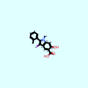 Cc1ccccc1-c1c(I)c2cc(C(=O)O)c(O)cc2n1C